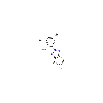 C/C=C\c1nn(-c2cc(C(C)(C)C)cc(C(C)(C)C)c2O)nc1C